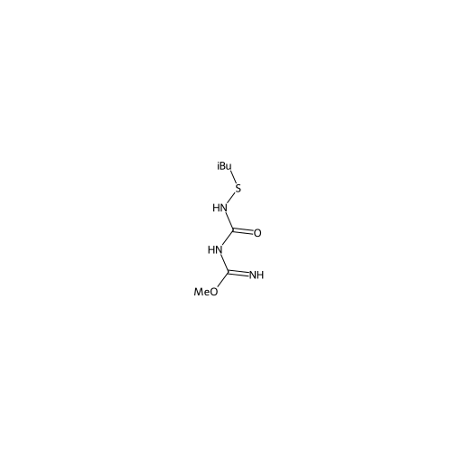 CCC(C)SNC(=O)NC(=N)OC